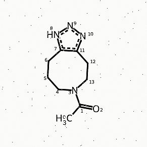 CC(=O)N1CCCc2[nH]nnc2CC1